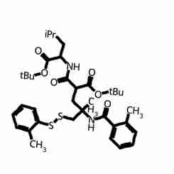 Cc1ccccc1SSCC(C)(CC(C(=O)NC(CC(C)C)C(=O)OC(C)(C)C)C(=O)OC(C)(C)C)NC(=O)c1ccccc1C